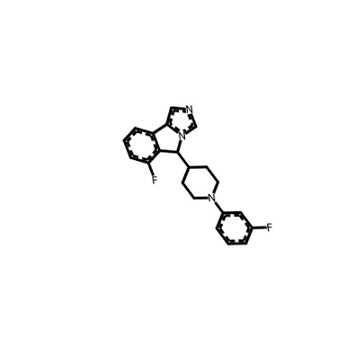 Fc1cccc(N2CCC(C3c4c(F)cccc4-c4cncn43)CC2)c1